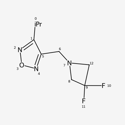 CC(C)c1nonc1CN1CC(F)(F)C1